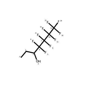 CCC(O)C(F)(F)C(F)(F)C(F)(F)C(F)(F)F